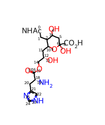 CC(=O)NCC1C(O)CC(O)(C(=O)O)OC1C[C@H](O)COC(=O)[C@H](N)Cc1c[nH]cn1